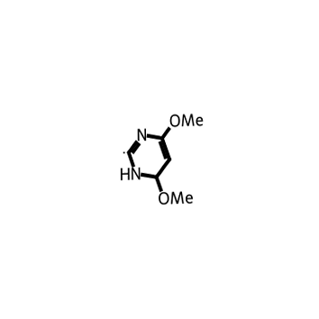 COC1=CC(OC)N[C]=N1